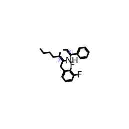 C/C=C(\N/C(Cc1cccc(F)c1F)=C(\C)CCCC)c1ccccc1